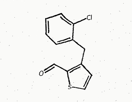 O=Cc1sccc1Cc1ccccc1Cl